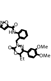 CCC1OC(=O)N(Cc2ccccc2NC(=O)c2ccno2)N=C1c1ccc(OC)c(OC)c1